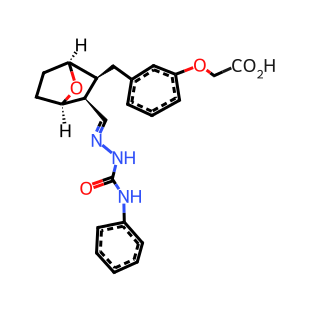 O=C(O)COc1cccc(C[C@H]2[C@@H](C=NNC(=O)Nc3ccccc3)[C@H]3CC[C@@H]2O3)c1